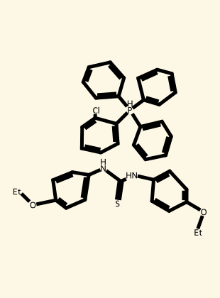 CCOc1ccc(NC(=S)Nc2ccc(OCC)cc2)cc1.Clc1ccccc1[PH](c1ccccc1)(c1ccccc1)c1ccccc1